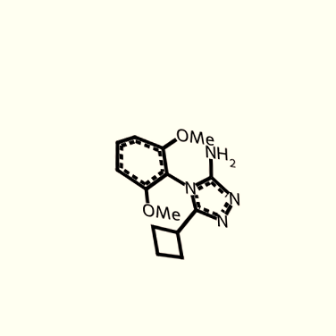 COc1cccc(OC)c1-n1c(N)nnc1C1CCC1